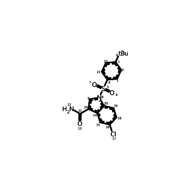 CC(C)(C)c1ccc(S(=O)(=O)n2cc(C(N)=O)c3cc(Cl)ccc32)cc1